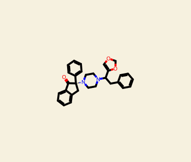 O=C1c2ccccc2C[C@@]1(c1ccccc1)N1CCN(C(Cc2ccccc2)C2=COCO2)CC1